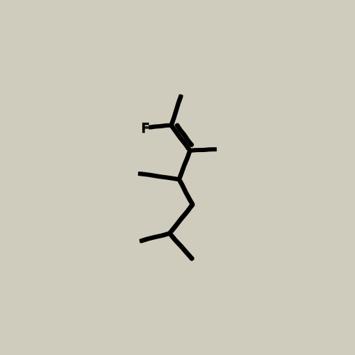 C/C(F)=C(\C)C(C)CC(C)C